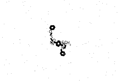 C[N+]1(C)CCN(Cc2ccccc2)C1c1ccc(-c2nnc(CSCCOc3ccccc3)o2)cc1